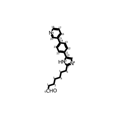 O=CCCCCCCc1ncc(-c2ccc(-c3cccnc3)cc2)[nH]1